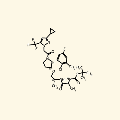 Cc1cc(F)cc([C@@H]2[C@H](OC[C@@H](C)NC(=O)C(C)NC(=O)OC(C)(C)C)CCN2C(=O)Cn2nc(C3CC3)cc2C(F)(F)F)c1Cl